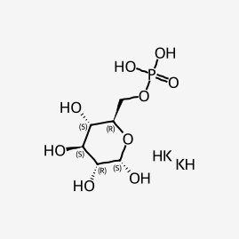 O=P(O)(O)OC[C@H]1O[C@H](O)[C@H](O)[C@@H](O)[C@@H]1O.[KH].[KH]